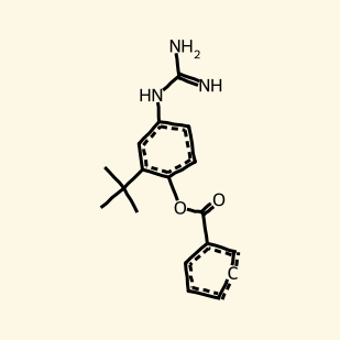 CC(C)(C)c1cc(NC(=N)N)ccc1OC(=O)c1ccccc1